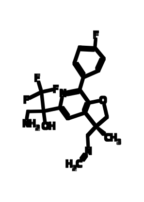 C=NC[C@@]1(C)COc2c1cc(C(O)(CN)C(F)(F)F)nc2-c1ccc(F)cc1